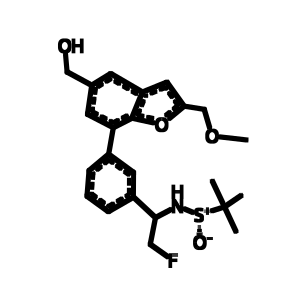 COCc1cc2cc(CO)cc(-c3cccc(C(CF)N[S@@+]([O-])C(C)(C)C)c3)c2o1